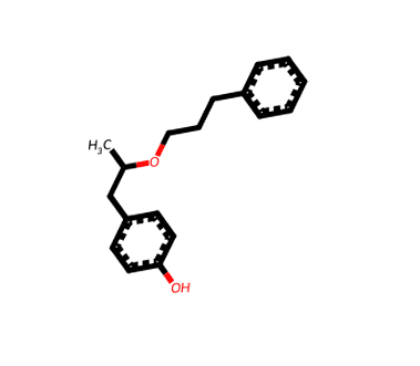 CC(Cc1ccc(O)cc1)OCCCc1ccccc1